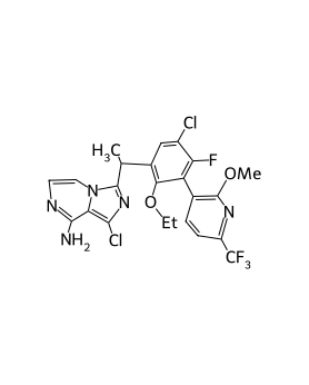 CCOc1c(C(C)c2nc(Cl)c3c(N)nccn23)cc(Cl)c(F)c1-c1ccc(C(F)(F)F)nc1OC